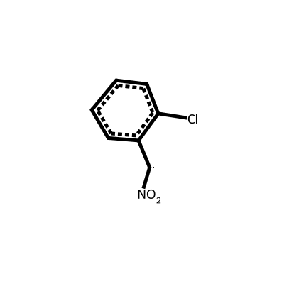 O=[N+]([O-])[CH]c1ccccc1Cl